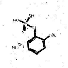 CCCCc1ccccc1OP(O)(=S)S.O.[Mo]